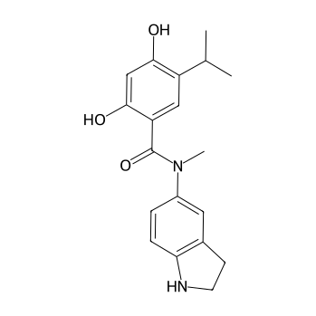 CC(C)c1cc(C(=O)N(C)c2ccc3c(c2)CCN3)c(O)cc1O